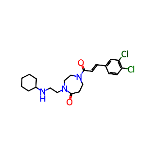 O=C(/C=C/c1ccc(Cl)c(Cl)c1)N1CCC(=O)N(CCNC2CCCCC2)CC1